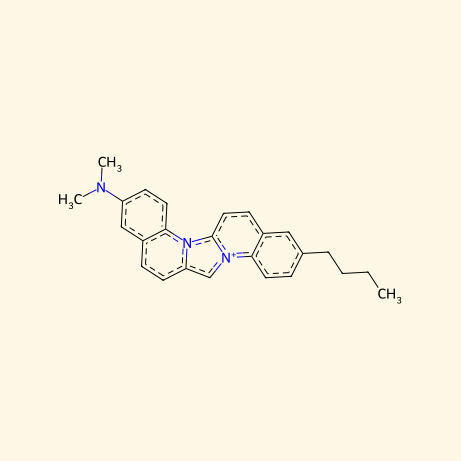 CCCCc1ccc2c(ccc3n4c(ccc5cc(N(C)C)ccc54)c[n+]23)c1